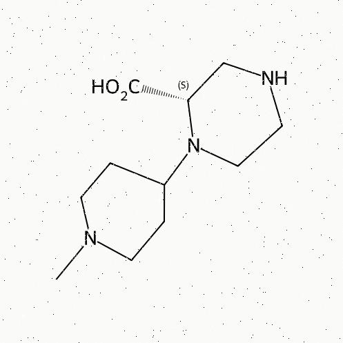 CN1CCC(N2CCNC[C@H]2C(=O)O)CC1